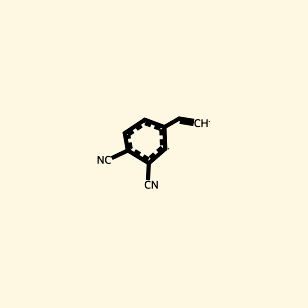 [CH]=Cc1[c]c(C#N)c(C#N)cc1